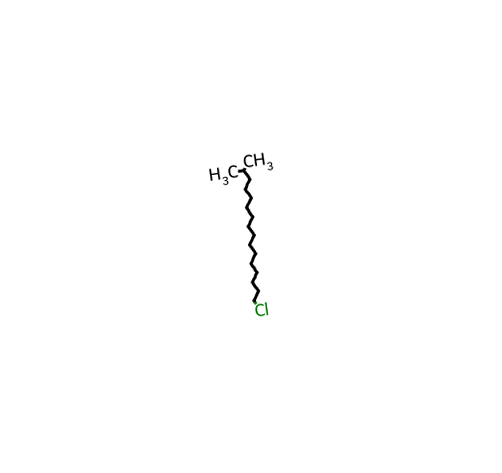 CC(C)CCCCCCCCCCCCCCCl